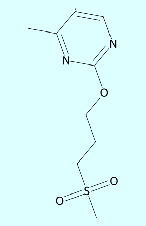 Cc1[c]cnc(OCCCS(C)(=O)=O)n1